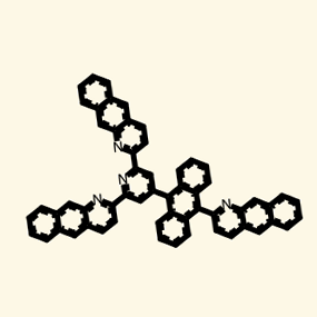 c1ccc2cc3nc(-c4cc(-c5c6ccccc6c(-c6ccc7cc8ccccc8cc7n6)c6ccccc56)cc(-c5ccc6cc7ccccc7cc6n5)n4)ccc3cc2c1